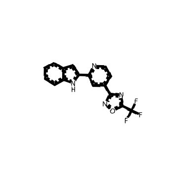 FC(F)(F)c1nc(-c2ccnc(-c3cc4ccccc4[nH]3)c2)no1